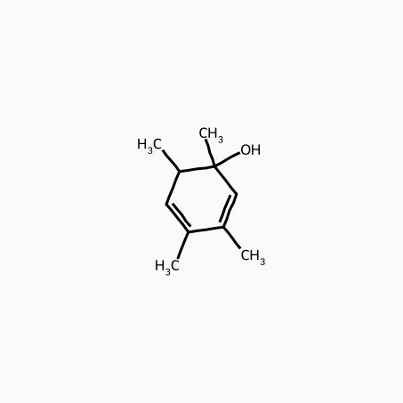 CC1=CC(C)C(C)(O)C=C1C